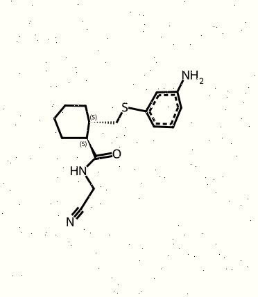 N#CCNC(=O)[C@H]1CCCC[C@@H]1CSc1cccc(N)c1